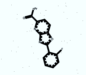 CCCC(=O)c1ccc2oc(-c3ccccc3F)nc2n1